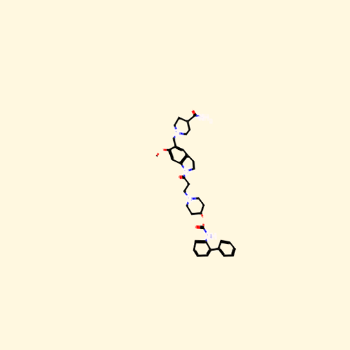 COc1cc2c(cc1CN1CCC(C(N)=O)CC1)CCN2C(=O)CCN1CCC(OC(=O)Nc2ccccc2-c2ccccc2)CC1